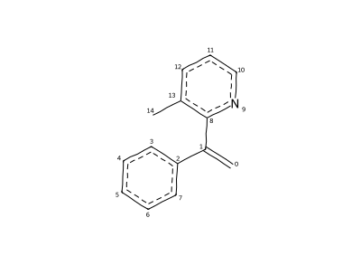 C=C(c1ccccc1)c1ncccc1C